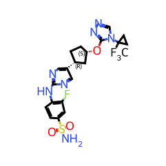 NS(=O)(=O)c1ccc(Nc2ncc([C@@H]3CC[C@H](Oc4nncn4C4(C(F)(F)F)CC4)C3)cn2)c(F)c1